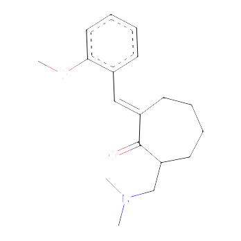 COc1ccccc1C=C1CCCCC(CN(C)C)C1=O